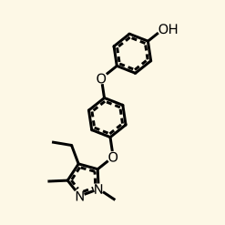 CCc1c(C)nn(C)c1Oc1ccc(Oc2ccc(O)cc2)cc1